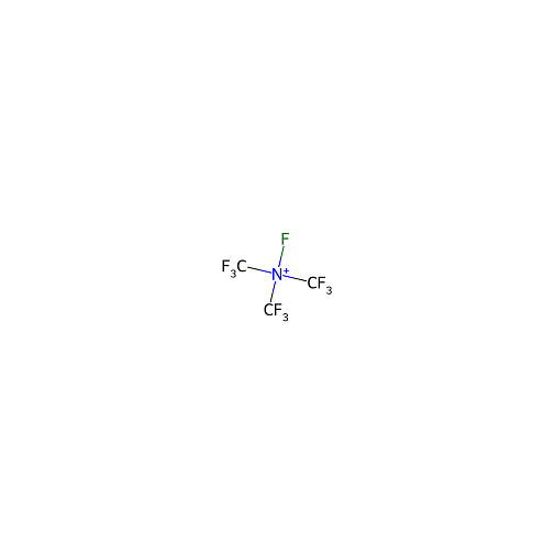 FC(F)(F)[N+](F)(C(F)(F)F)C(F)(F)F